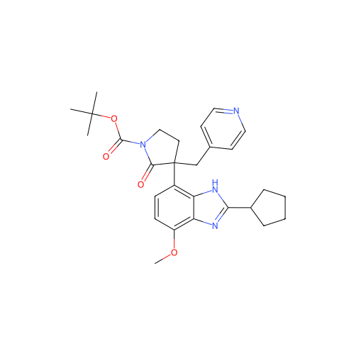 COc1ccc(C2(Cc3ccncc3)CCN(C(=O)OC(C)(C)C)C2=O)c2[nH]c(C3CCCC3)nc12